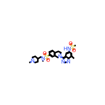 Cc1cc(NS(C)(=O)=O)cc2c(N3CCc4ccc(S(=O)(=O)N(C)CC5CCN(C)CC5)cc4C3)ncnc12